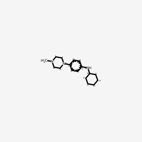 CN1CCN(c2ccc(NC3CCCCC3)cc2)CC1